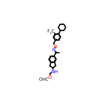 C/C(=N\OCc1ccc(C2CCCCC2)c(C(F)(F)F)c1)c1ccc2c(c1)CC(NCOC=O)C2